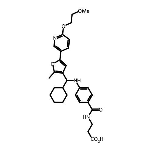 COCCOc1ccc(-c2cc(C(Nc3ccc(C(=O)NCCC(=O)O)cc3)C3CCCCC3)c(C)o2)cn1